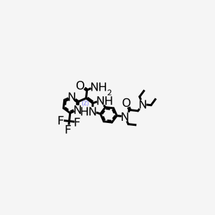 CCN(CC)CC(=O)N(CC)c1ccc2c(c1)N/C(=C(\C(N)=O)c1nccc(C(F)(F)F)n1)N2